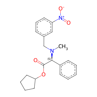 CN(Cc1cccc([N+](=O)[O-])c1)[C@H](C(=O)OC1CCCC1)c1ccccc1